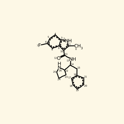 Cc1[nH]c2ccc(F)cc2c1C(=O)NC(Cc1ccccc1)C1CCCN1